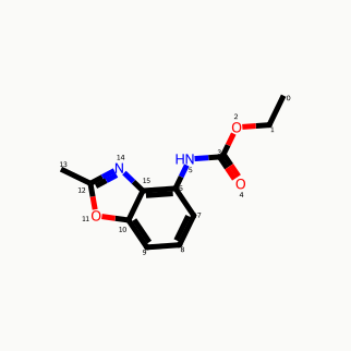 CCOC(=O)Nc1cccc2oc(C)nc12